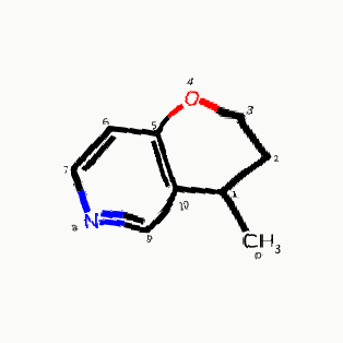 CC1CCOc2ccncc21